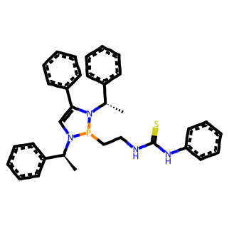 C[C@@H](c1ccccc1)N1C=C(c2ccccc2)N([C@@H](C)c2ccccc2)P1CCNC(=S)Nc1ccccc1